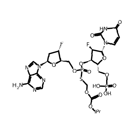 CC(C)OC(=O)OCSP(=O)(OC[C@H]1O[C@@H](n2cnc3c(N)ncnc32)C[C@@H]1F)O[C@H]1[C@@H](F)[C@H](n2ccc(=O)[nH]c2=O)O[C@@H]1COP(=O)(O)O